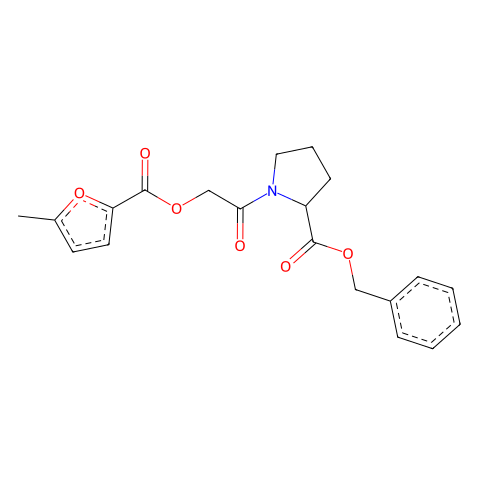 Cc1ccc(C(=O)OCC(=O)N2CCCC2C(=O)OCc2ccccc2)o1